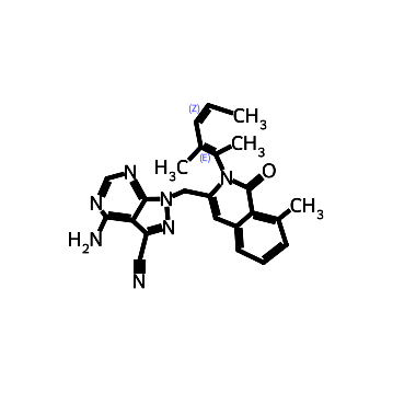 C/C=C\C(C)=C(/C)n1c(Cn2nc(C#N)c3c(N)ncnc32)cc2cccc(C)c2c1=O